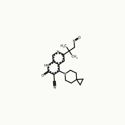 CC(C)(CN=O)c1cc2c(N3CCC4(CC3)CC4)c(C#N)c(=O)[nH]c2cn1